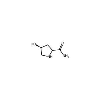 NC(=O)C1C[C@H](O)CN1